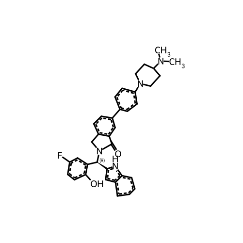 CN(C)C1CCN(c2ccc(-c3ccc4c(c3)C(=O)N([C@@H](c3cc5ccccc5[nH]3)c3cc(F)ccc3O)C4)cc2)CC1